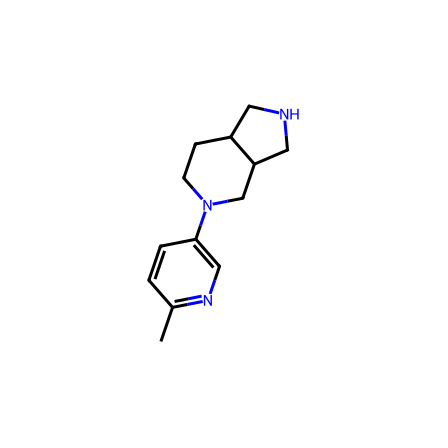 Cc1ccc(N2CCC3CNCC3C2)cn1